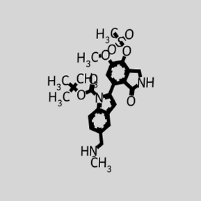 CNCc1ccc2c(c1)cc(-c1cc(OC)c(OS(C)(=O)=O)c3c1C(=O)NC3)n2C(=O)OC(C)(C)C